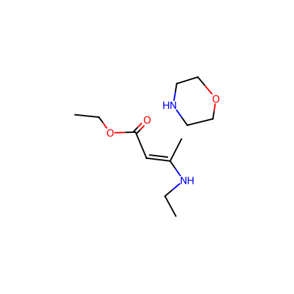 C1COCCN1.CCNC(C)=CC(=O)OCC